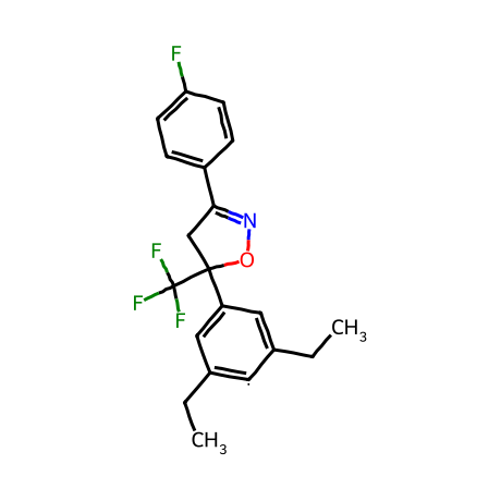 CCc1[c]c(CC)cc(C2(C(F)(F)F)CC(c3ccc(F)cc3)=NO2)c1